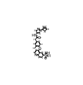 CCS(=N)(=O)c1ccc2nccc(Oc3ccc(CC(=O)Nc4cnn(C56CCC(C5)C6)c4)cc3C)c2c1